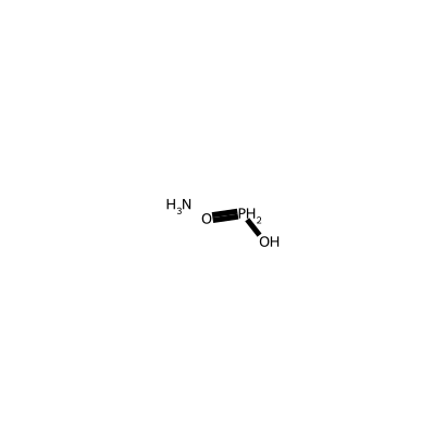 N.O=[PH2]O